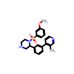 COc1cccc(S(=O)(=O)N2CCNCC2c2cccc(-c3ccncc3C)c2)c1